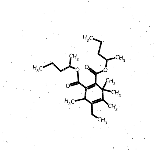 CCCC(C)OC(=O)C1=C(C(=O)OC(C)CCC)C(C)(C)C(C)=C(CC)C1C